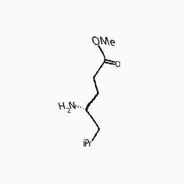 COC(=O)CC[C@@H](N)CC(C)C